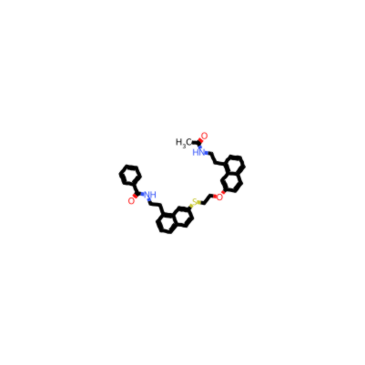 CC(=O)NCCc1cccc2ccc(OCCSc3ccc4cccc(CCNC(=O)c5ccccc5)c4c3)cc12